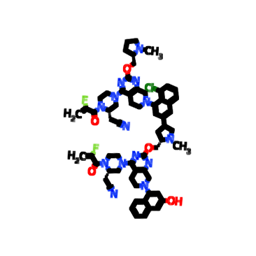 C=C(F)C(=O)N1CCN(c2nc(OC[C@@H]3CC(c4cc(N5CCc6c(nc(OC[C@H]7CCCN7C)nc6N6CCN(C(=O)C(=C)F)[C@@H](CC#N)C6)C5)c5c(Cl)cccc5c4)CN3C)nc3c2CCN(c2cc(O)cc4ccccc24)C3)C[C@@H]1CC#N